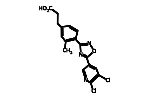 Cc1cc(CCC(=O)O)ccc1-c1noc(-c2cnc(Cl)c(Cl)c2)n1